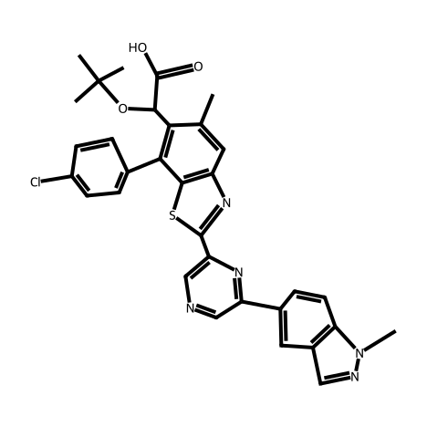 Cc1cc2nc(-c3cncc(-c4ccc5c(cnn5C)c4)n3)sc2c(-c2ccc(Cl)cc2)c1C(OC(C)(C)C)C(=O)O